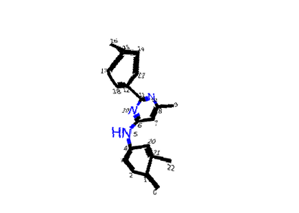 C=C1C=C=C(Nc2cc(C)nc(-c3ccc(C)cc3)n2)C=C1C